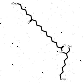 CCCCCCCCCCCCCCCCC(CO)NC(=O)CCCCCCCCCCC(=O)CCCCCCCCCCCCCCC